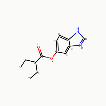 CCC(CC)C(=O)Oc1ccc2[nH]cnc2c1